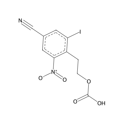 N#Cc1cc(I)c(CCOC(=O)O)c([N+](=O)[O-])c1